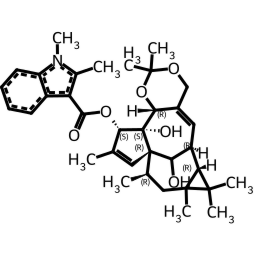 CC1=C[C@]23C(O)[C@@H](C=C4COC(C)(C)O[C@H]4[C@]2(O)[C@H]1OC(=O)c1c(C)n(C)c2ccccc12)[C@@H]1C(C)(C)C1(C)C[C@H]3C